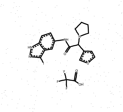 O=C(Nc1ccc2[nH]nc(I)c2c1)C(c1ccsc1)N1CCCC1.O=C(O)C(F)(F)F